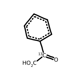 O=C(O)[13C](=O)c1ccccc1